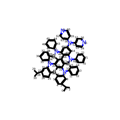 CC(C)c1ccc2c(c1)N1c3ccccc3B3c4c5c6c7c(c41)B2c1ccc(C(C)C)cc1N7c1ccccc1B6N(c1ccccc1)c1cc(N(c2ccncc2)c2ccncc2)cc(c1-5)N3c1ccccc1